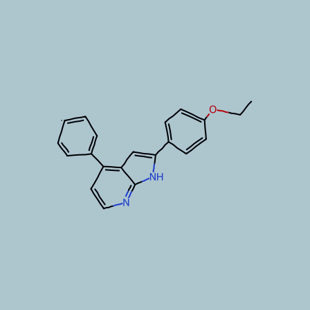 CCOc1ccc(-c2cc3c(-c4cc[c]cc4)ccnc3[nH]2)cc1